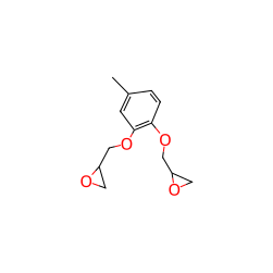 Cc1ccc(OCC2CO2)c(OCC2CO2)c1